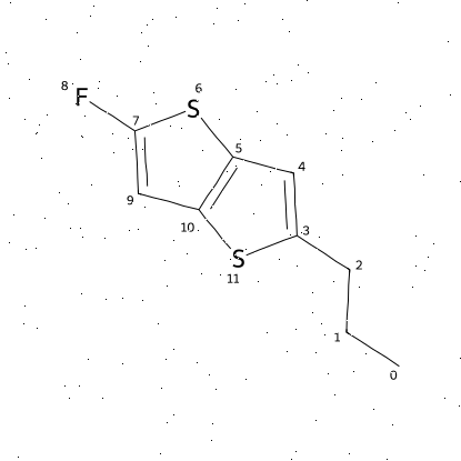 CCCc1cc2sc(F)cc2s1